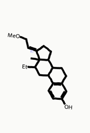 CCC1CC2c3ccc(O)cc3CCC2C2CC/C(=C\COC)C12C